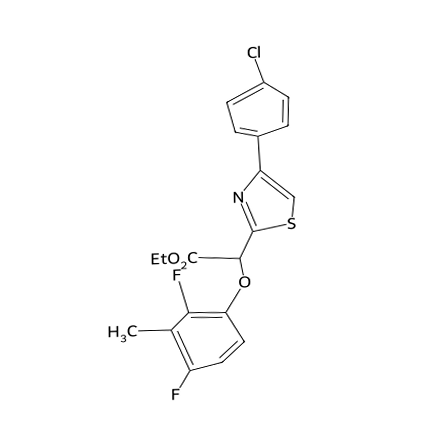 CCOC(=O)C(Oc1ccc(F)c(C)c1F)c1nc(-c2ccc(Cl)cc2)cs1